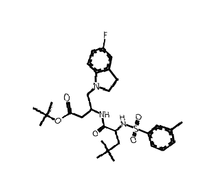 Cc1cccc(S(=O)(=O)NC(CC(C)(C)C)C(=O)NC(CC(=O)OC(C)(C)C)CN2CCc3cc(F)ccc32)c1